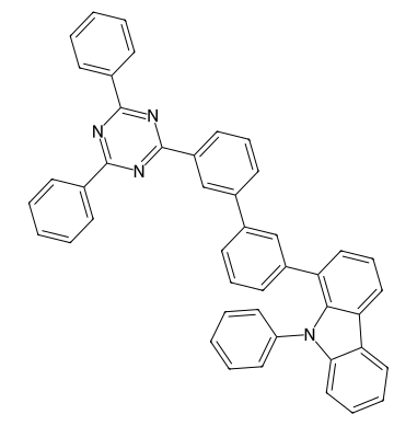 c1ccc(-c2nc(-c3ccccc3)nc(-c3cccc(-c4cccc(-c5cccc6c7ccccc7n(-c7ccccc7)c56)c4)c3)n2)cc1